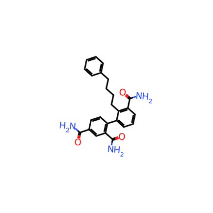 NC(=O)c1ccc(-c2cccc(C(N)=O)c2CCCCc2ccccc2)c(C(N)=O)c1